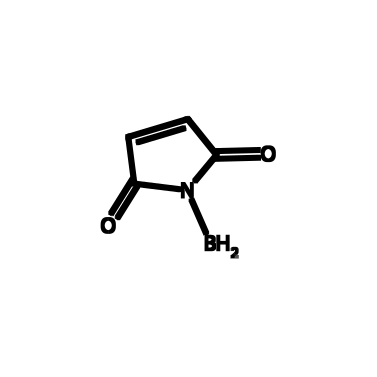 BN1C(=O)C=CC1=O